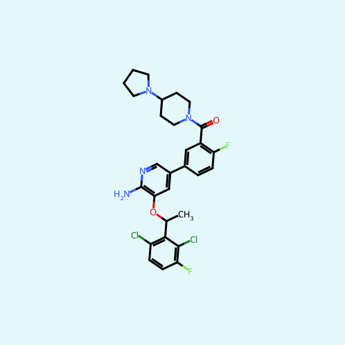 CC(Oc1cc(-c2ccc(F)c(C(=O)N3CCC(N4CCCC4)CC3)c2)cnc1N)c1c(Cl)ccc(F)c1Cl